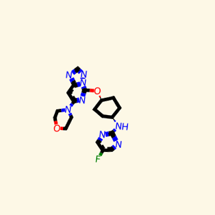 Fc1cnc(N[C@H]2CC[C@@H](Oc3nc(N4CCOCC4)cc4ncnn34)CC2)nc1